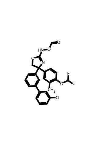 Cc1cc(C2(c3cccc(-c4cccc(Cl)c4)c3)COC(NOC=O)=N2)ccc1OC(F)F